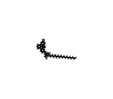 CCCCCCCCCCCCCCCCCCOCC(CC)(CC)COc1ccc2c(c1)C(Br)(c1ccc(Cl)cc1)c1ccccc1-2